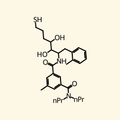 CCCN(CCC)C(=O)c1cc(C)cc(C(=O)NC(Cc2ccccc2C)C(O)C(O)CCCS)c1